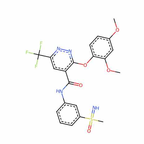 COc1ccc(Oc2nnc(C(F)(F)F)cc2C(=O)Nc2cccc(S(C)(=N)=O)c2)c(OC)c1